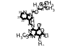 CSc1nc(NCc2cn(COCC[Si](C)(C)C)c3ncccc23)c2c(=O)oc(Cl)c(C)c2n1